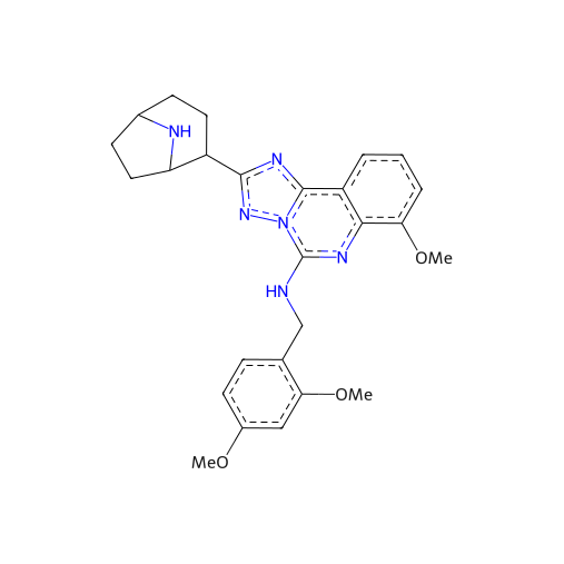 COc1ccc(CNc2nc3c(OC)cccc3c3nc(C4CCC5CCC4N5)nn23)c(OC)c1